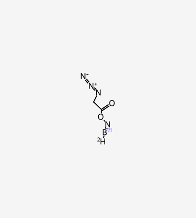 [2H]/B=N/OC(=O)CN=[N+]=[N-]